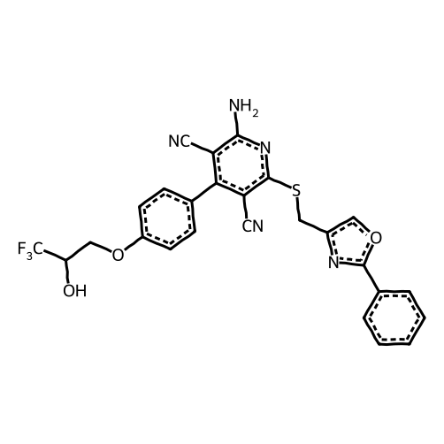 N#Cc1c(N)nc(SCc2coc(-c3ccccc3)n2)c(C#N)c1-c1ccc(OCC(O)C(F)(F)F)cc1